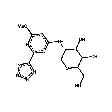 COc1cc(N[C@H]2COC(CO)C(O)C2O)nc(-c2nnn[nH]2)n1